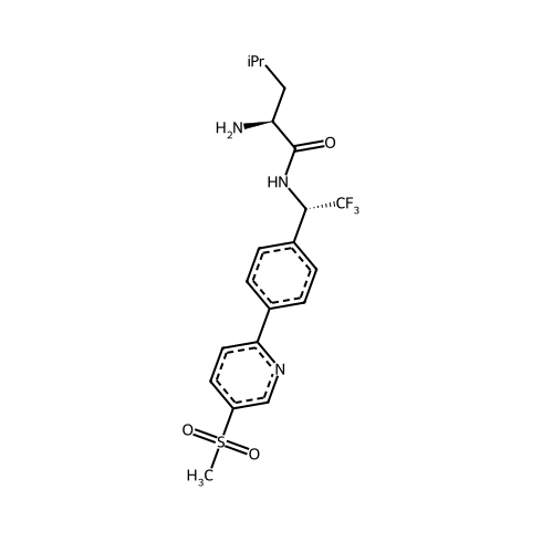 CC(C)C[C@H](N)C(=O)N[C@@H](c1ccc(-c2ccc(S(C)(=O)=O)cn2)cc1)C(F)(F)F